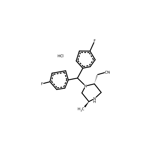 C[C@H]1CN(C(c2ccc(F)cc2)c2ccc(F)cc2)[C@H](CC#N)CN1.Cl